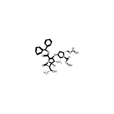 C[C@@H](O)[C@H]1C(=O)N2C(C(=O)OC(c3ccccc3)c3ccccc3)=C(S[C@H]3C[C@H](CONS)N(C(=O)OC(C)(C)C)C3)[C@H](C)[C@H]12